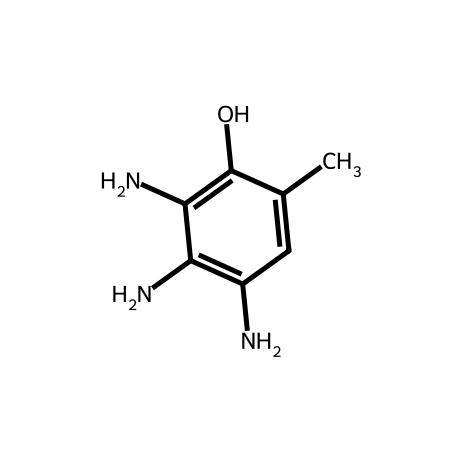 Cc1cc(N)c(N)c(N)c1O